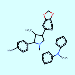 COc1ccc(C2C(C(=O)O)C(c3ccc4c(c3)OCO4)CN2C)cc1.O=CN(c1ccccc1)c1ccccc1